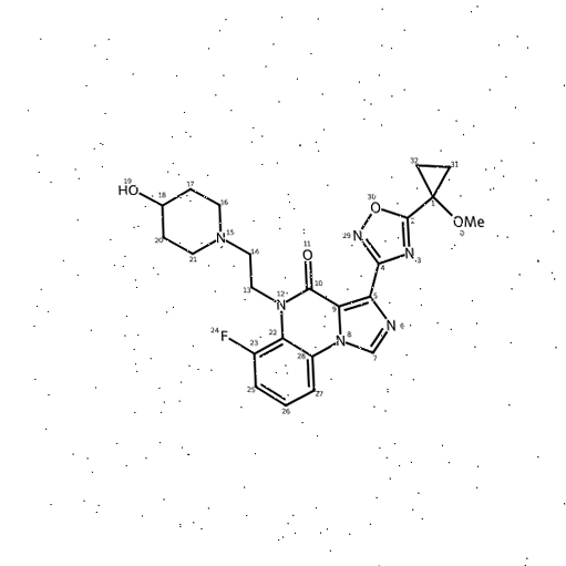 COC1(c2nc(-c3ncn4c3c(=O)n(CCN3CCC(O)CC3)c3c(F)cccc34)no2)CC1